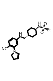 CCS(=O)(=O)N[C@H]1CC[C@H](CNc2ccc(C#N)c(N3C=CCC3)c2)CC1